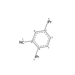 CC(C)c1ccc(C(C)C)c(C#N)c1